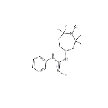 CC1(C)CCC(N/C(=N\C#N)Nc2ccccc2)CC(C)(C)N1O